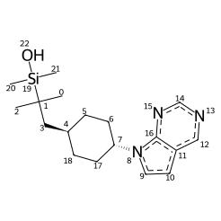 CC(C)(C[C@H]1CC[C@H](n2ccc3cncnc32)CC1)[Si](C)(C)O